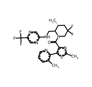 Cc1nc(C(=O)N2CC(F)(F)C[C@@H](C)C2CNc2cnc(C(F)(F)F)cn2)c(-c2ncccc2C)s1